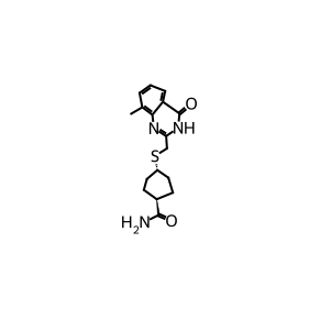 Cc1cccc2c(=O)[nH]c(CS[C@H]3CC[C@H](C(N)=O)CC3)nc12